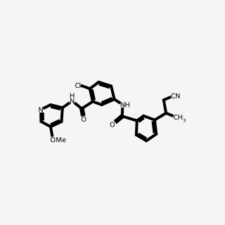 COc1cncc(NC(=O)c2cc(NC(=O)c3cccc(C(C)CC#N)c3)ccc2Cl)c1